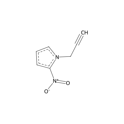 C#CCn1cccc1[N+](=O)[O-]